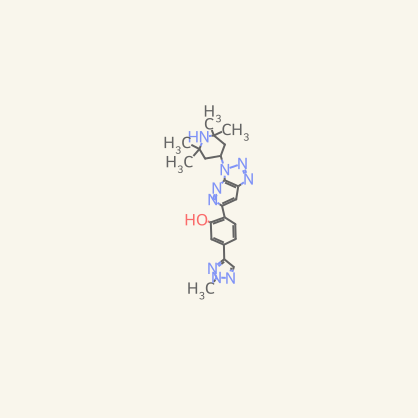 Cn1ncc(-c2ccc(-c3cc4nnn(C5CC(C)(C)NC(C)(C)C5)c4nn3)c(O)c2)n1